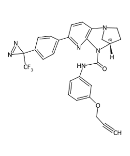 C#CCOc1cccc(NC(=O)N2c3nc(-c4ccc(C5(C(F)(F)F)N=N5)cc4)ccc3N3CC[C@H]2C3)c1